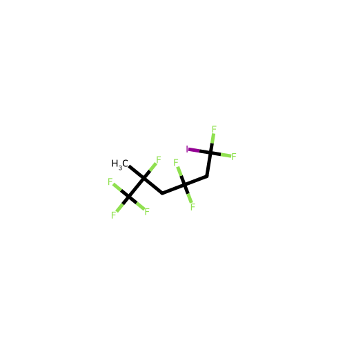 CC(F)(CC(F)(F)CC(F)(F)I)C(F)(F)F